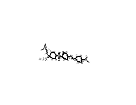 CN(C)N=NC1(C(=O)O)C=CC(S(=O)(=O)c2ccc(N=Nc3ccc(N(C)C)cc3)cc2)=CC1